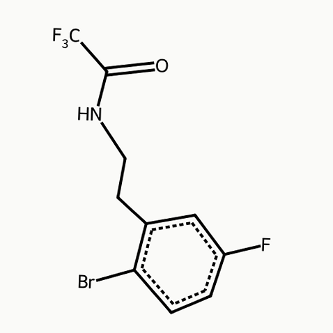 O=C(NCCc1cc(F)ccc1Br)C(F)(F)F